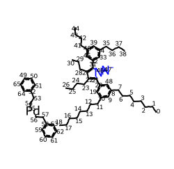 CCCCCCCCc1cc(CCCCCCCC)cc(C2=C(CCCC)C(CCC)=C(c3cc(CCCC)cc(CCCC)c3)[N+]2=[N-])c1.c1ccc(C[CH2][Pd][CH2]Cc2ccccc2)cc1